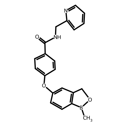 CB1OCc2cc(Oc3ccc(C(=O)NCc4ccccn4)cc3)ccc21